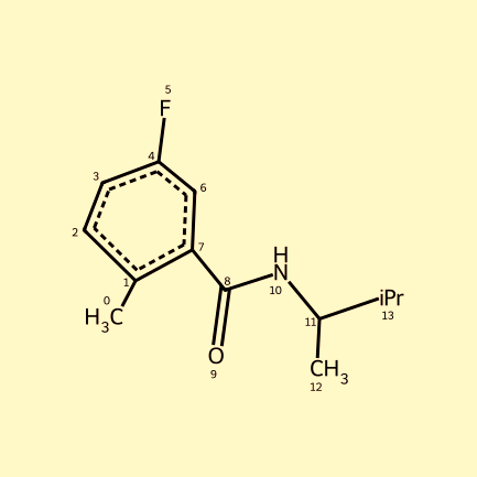 Cc1ccc(F)cc1C(=O)NC(C)C(C)C